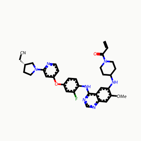 C=CC(=O)N1CCC(Nc2cc3c(Nc4ccc(Oc5ccnc(N6CC[C@H](CC#N)C6)c5)cc4F)ncnc3cc2OC)CC1